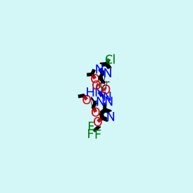 CCOC[C@@H]1COc2c(OCC(F)(F)F)cncc2-c2nnc(NS(=O)(=O)[C@@H](C)[C@@H](OC(C)C)c3ncc(Cl)cn3)n21